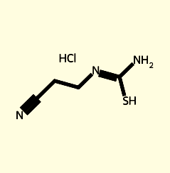 Cl.N#CCCN=C(N)S